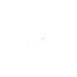 CCc1csc(NC(=O)[C@H](CC(=O)OC(C)(C)C)NC(=O)OCC2c3ccccc3-c3ccccc32)c1C(=O)c1ccc(Cl)cc1